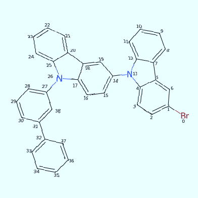 Brc1ccc2c(c1)c1ccccc1n2-c1ccc2c(c1)c1ccccc1n2-c1cccc(-c2ccccc2)c1